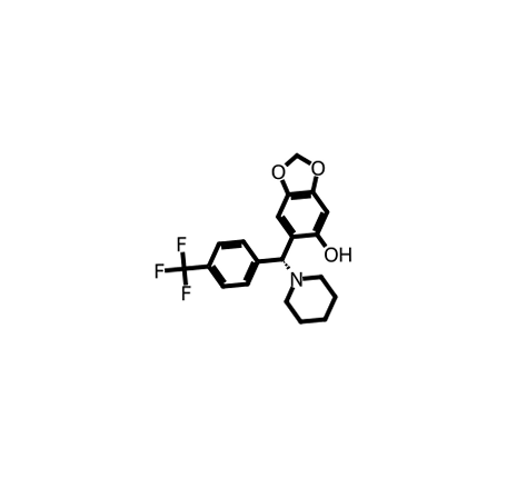 Oc1cc2c(cc1[C@@H](c1ccc(C(F)(F)F)cc1)N1CCCCC1)OCO2